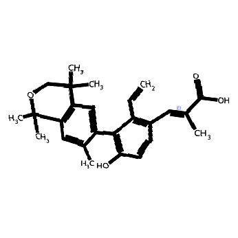 C=Cc1c(/C=C(\C)C(=O)O)ccc(O)c1-c1cc2c(cc1C)C(C)(C)OCC2(C)C